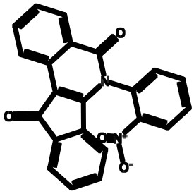 O=C1c2ccccc2-c2c1c1ccccc1c(=O)n2-c1ccccc1[N+](=O)[O-]